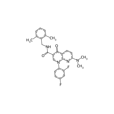 Cc1cccc(C)c1CNC(=O)c1cn(-c2ccc(F)cc2F)c2nc(N(C)C)ccc2c1=O